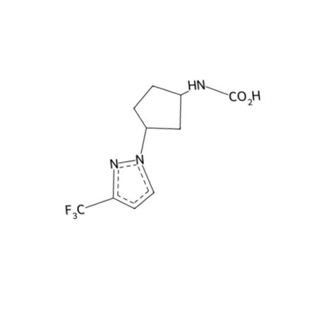 O=C(O)NC1CCC(n2ccc(C(F)(F)F)n2)C1